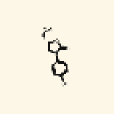 COC[C@H]1CN(c2ccc(O)cc2)C(=O)O1